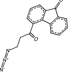 [N-]=[N+]=NCCC(=O)c1cccc2c1-c1ccccc1C2=O